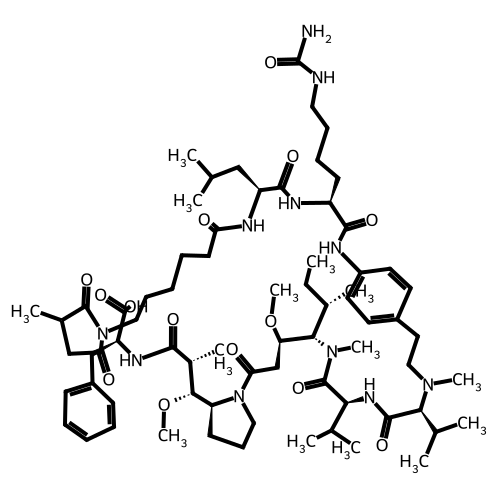 CC[C@H](C)[C@@H]([C@@H](CC(=O)N1CCC[C@H]1[C@H](OC)[C@@H](C)C(=O)N[C@@H](Cc1ccccc1)C(=O)O)OC)N(C)C(=O)[C@@H](NC(=O)[C@H](C(C)C)N(C)CCc1ccc(NC(=O)[C@H](CCCCNC(N)=O)NC(=O)[C@H](CC(C)C)NC(=O)CCCCCN2C(=O)CC(C)C2=O)cc1)C(C)C